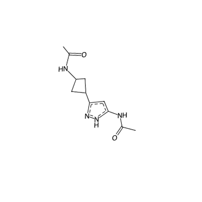 CC(=O)Nc1cc(C2CC(NC(C)=O)C2)n[nH]1